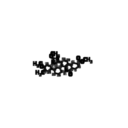 COC(=O)C1CCC(C(=O)N(C[C@H]2CC[C@H](c3ccc(OC)c(C)c3)CC2)c2cccc(-c3cnc(OC)s3)c2)CC1